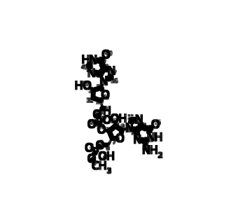 COP(=O)(O)OC[C@H]1O[C@@H](n2cnc3c(=O)[nH]c(N)nc32)[C@H](O)[C@@H]1OP(=O)(O)OC[C@@H]1C[C@@H](O)[C@H](n2cnc3c(=O)[nH]cnc32)O1